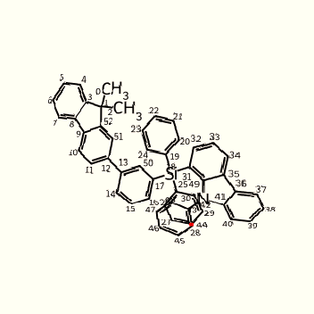 CC1(C)c2ccccc2-c2ccc(-c3cccc([Si](c4ccccc4)(c4ccccc4)c4cccc5c6ccccc6n(-c6ccccc6)c45)c3)cc21